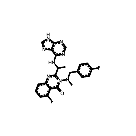 CC(Nc1ncnc2[nH]cnc12)c1nc2cccc(F)c2c(=O)n1N(C)Cc1ccc(F)cc1